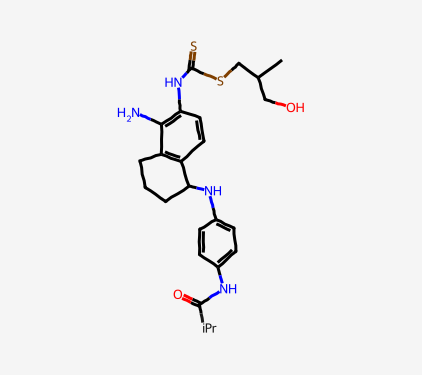 CC(CO)CSC(=S)Nc1ccc2c(c1N)CCCC2Nc1ccc(NC(=O)C(C)C)cc1